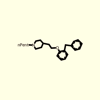 CCCCCN1CCC(CCOc2ccccc2Cc2ccccc2)CC1